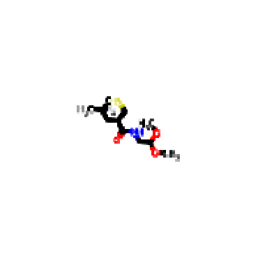 COC(CNC(=O)C(CS)CC(C)C)OC